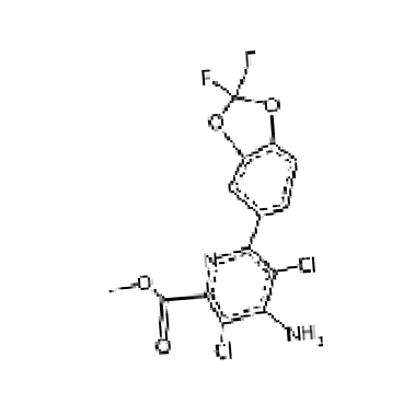 COC(=O)c1nc(-c2ccc3c(c2)OC(F)(F)O3)c(Cl)c(N)c1Cl